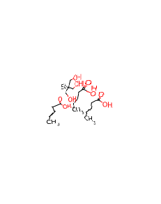 CCC(CO)(CO)CO.CCCCC(=O)O.CCCCC(=O)O.CCCCC(=O)O